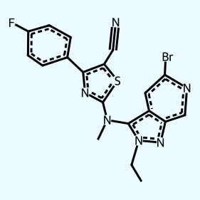 CCn1nc2cnc(Br)cc2c1N(C)c1nc(-c2ccc(F)cc2)c(C#N)s1